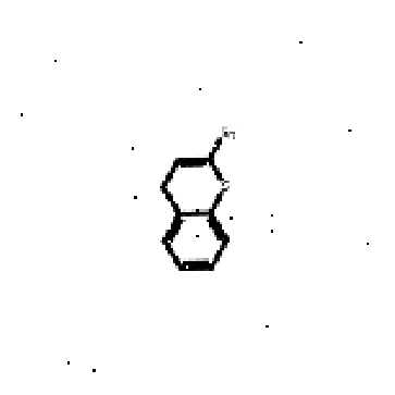 SC1=CCc2ccccc2S1